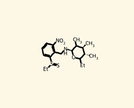 CCC1O[C@@H](NCc2c([N+](=O)[O-])cccc2S(=S)CC)C(C)[C@@H](C)[C@@H]1C